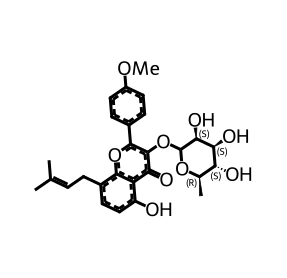 COc1ccc(-c2oc3c(CC=C(C)C)ccc(O)c3c(=O)c2OC2O[C@H](C)[C@@H](O)[C@H](O)[C@@H]2O)cc1